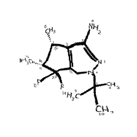 C[C@@H]1c2c(N)nn(C(C)(C)C)c2C(F)(F)[C@@H]1C